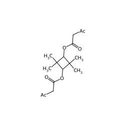 CC(=O)CC(=O)OC1C(C)(C)C(OC(=O)CC(C)=O)C1(C)C